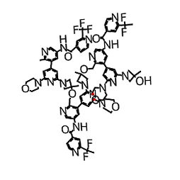 Cc1ncc(NC(=O)c2ccnc(C(F)(F)F)c2)cc1-c1cc(N2CCOCC2)nc(N2CC(C)(OCc3ncc(NC(=O)c4ccnc(C(C)(F)F)c4)cc3-c3cc(N4CCOCC4)nc(N4CC(C)(OCc5ncc(NC(=O)c6ccnc(C(C)(F)F)c6)cc5-c5cc(N6CCOCC6)nc(N6CC(C)(O)C6)c5)C4)c3)C2)c1